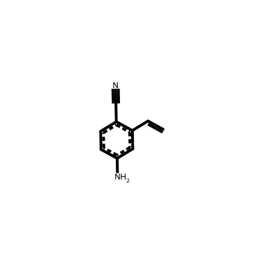 C=Cc1cc(N)ccc1C#N